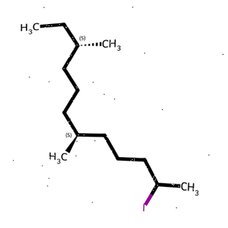 CC[C@H](C)CCC[C@H](C)CCCC(C)I